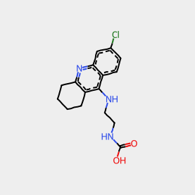 O=C(O)NCCNc1c2c(nc3cc(Cl)ccc13)CCCC2